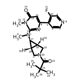 CN(c1nc(-c2ccncc2F)cc(=O)n1C)[C@H]1[C@@H]2CN(C(=O)C(C)(C)C)C[C@@H]21